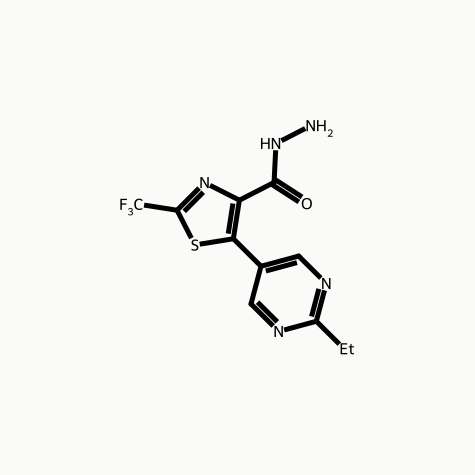 CCc1ncc(-c2sc(C(F)(F)F)nc2C(=O)NN)cn1